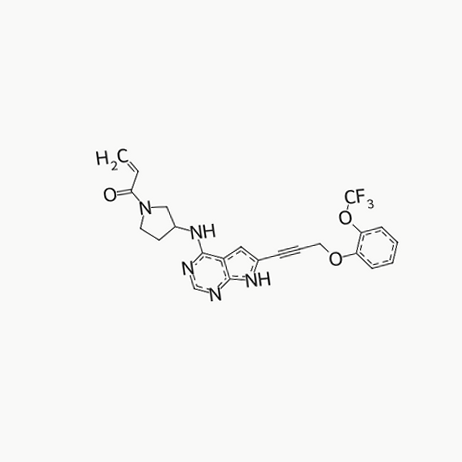 C=CC(=O)N1CCC(Nc2ncnc3[nH]c(C#CCOc4ccccc4OC(F)(F)F)cc23)C1